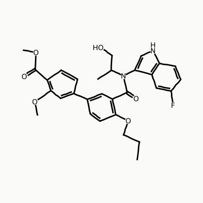 CCCOc1ccc(-c2ccc(C(=O)OC)c(OC)c2)cc1C(=O)N(c1c[nH]c2ccc(F)cc12)C(C)CO